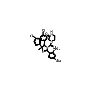 CCOc1cc(C(C)(C)C)ccc1C1=NC(C)(c2ccc(Cl)cc2)C(c2ccc(Cl)cc2)N1C(=O)N1CCNC(=O)C1